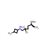 C=C=C(CCC(C)(CC)CNC1CC(C)C1)NC